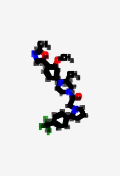 COc1cc(N2CCN(C(=O)CN3CCCC3c3ccc(C(F)(F)F)cc3)C[C@@H]2C)ccc1-c1cnc(C)o1